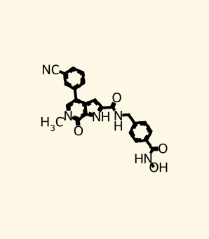 Cn1cc(-c2cccc(C#N)c2)c2cc(C(=O)NCc3ccc(C(=O)NO)cc3)[nH]c2c1=O